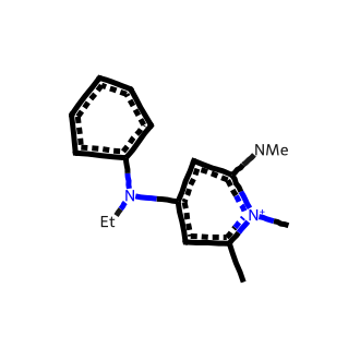 CCN(c1ccccc1)c1cc(C)[n+](C)c(NC)c1